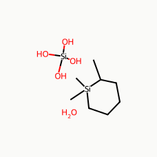 CC1CCCC[Si]1(C)C.O.O[Si](O)(O)O